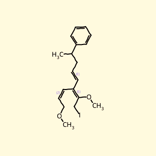 COC\C=C/C(/C=C/CC(C)c1ccccc1)=C(\CI)OC